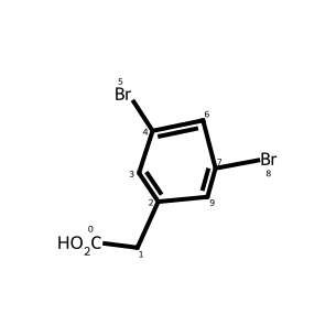 O=C(O)Cc1cc(Br)cc(Br)c1